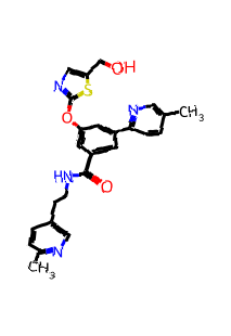 Cc1ccc(-c2cc(Oc3ncc(CO)s3)cc(C(=O)NCCc3ccc(C)nc3)c2)nc1